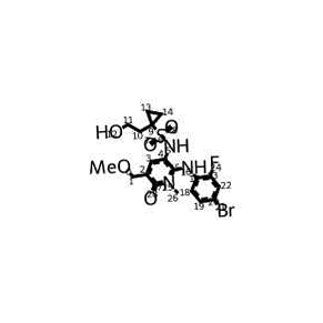 COCc1cc(NS(=O)(=O)C2(CCO)CC2)c(Nc2ccc(Br)cc2F)n(C)c1=O